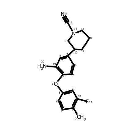 Cc1ccc(Oc2[c]cc(C3CCCN(C#N)C3)cc2N)cc1F